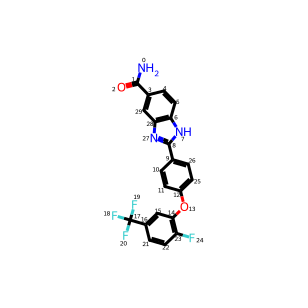 NC(=O)c1ccc2[nH]c(-c3ccc(Oc4cc(C(F)(F)F)ccc4F)cc3)nc2c1